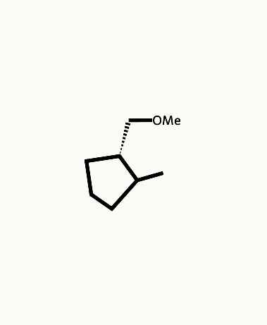 COC[C@H]1CCCC1C